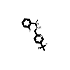 C[C@@H](NCc1ccc(C(C)(F)F)cn1)c1ccccc1F